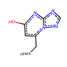 CCCCCCCc1cc(O)nc2ncnn12